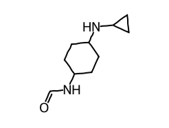 O=CNC1CCC(NC2CC2)CC1